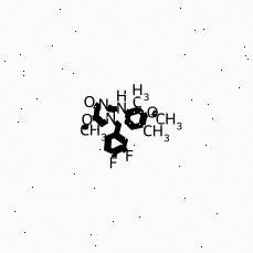 COc1c(C)ccc(Nc2nc(=O)c(OC)cn2Cc2ccc(F)c(F)c2)c1C